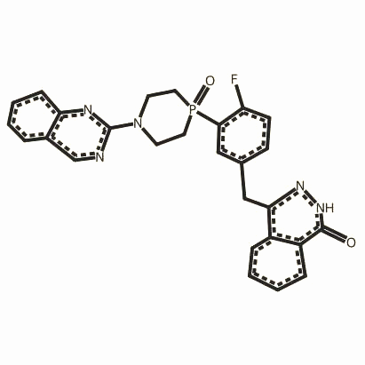 O=c1[nH]nc(Cc2ccc(F)c(P3(=O)CCN(c4ncc5ccccc5n4)CC3)c2)c2ccccc12